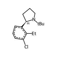 CCc1c(Cl)cccc1[C@H]1CCCN1C(C)(C)C